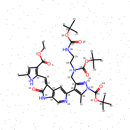 CCOC(=O)c1cc(C)[nH]c1/C=C1\C(=O)Nc2cnc(-c3c(CN(CCNC(=O)OC(C)(C)C)C(=O)OC(C)(C)C)nn(C(=O)OC(C)(C)C)c3C)cc21